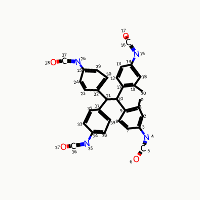 Cc1cc(N=C=O)ccc1C(c1ccc(N=C=O)cc1C)C(c1ccc(N=C=O)cc1)c1ccc(N=C=O)cc1